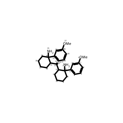 COc1cccc(C2(N)CCCCC2C(=O)C2CCCCC2(N)c2cccc(OC)c2)c1